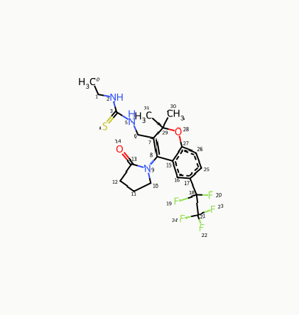 CCNC(=S)NCC1=C(N2CCCC2=O)c2cc(C(F)(F)C(F)(F)F)ccc2OC1(C)C